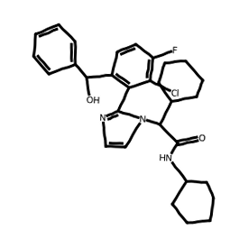 O=C(NC1CCCCC1)C(C1CCCCC1)n1ccnc1-c1c(C(O)c2ccccc2)ccc(F)c1Cl